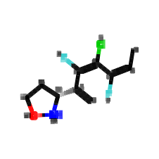 C=C(/C(F)=C(Cl)\C(F)=C/C)[C@H]1CCON1